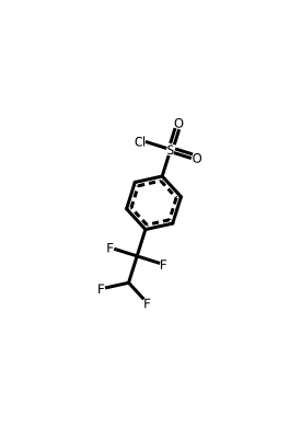 O=S(=O)(Cl)c1ccc(C(F)(F)C(F)F)cc1